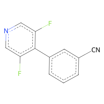 N#Cc1cccc(-c2c(F)cncc2F)c1